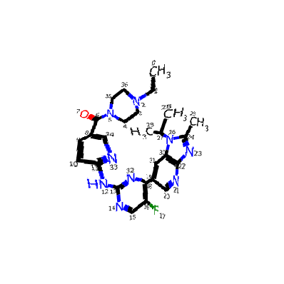 CCN1CCN(C(=O)c2ccc(Nc3ncc(F)c(-c4cnc5nc(C)n(C(C)C)c5c4)n3)nc2)CC1